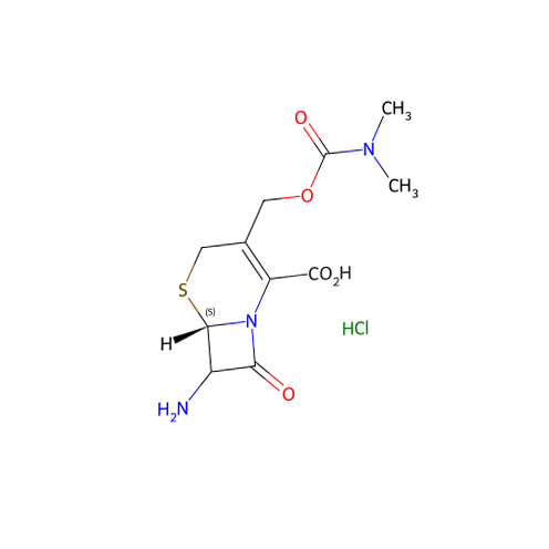 CN(C)C(=O)OCC1=C(C(=O)O)N2C(=O)C(N)[C@@H]2SC1.Cl